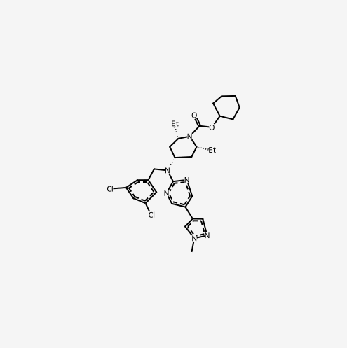 CC[C@@H]1C[C@H](N(Cc2cc(Cl)cc(Cl)c2)c2ncc(-c3cnn(C)c3)cn2)C[C@H](CC)N1C(=O)OC1CCCCC1